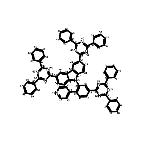 c1ccc(-c2nc(-c3ccccc3)nc(-c3ccc(-c4ccncc4)c(-n4c5ccc(-c6nc(-c7ccccc7)nc(-c7ccccc7)n6)cc5c5cc(-c6nc(-c7ccccc7)nc(-c7ccccc7)n6)ccc54)c3)n2)cc1